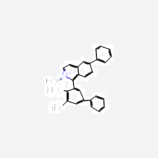 Cc1c(-c2c3ccc(-c4ccccc4)cc3cc[n+]2C)cc(-c2ccccc2)cc1C(C)C